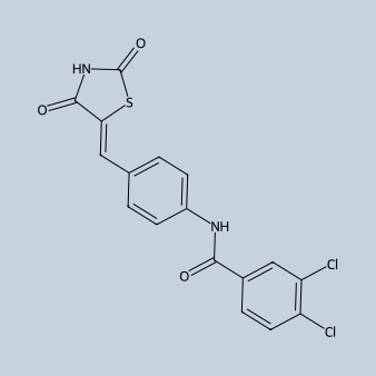 O=C1NC(=O)C(=Cc2ccc(NC(=O)c3ccc(Cl)c(Cl)c3)cc2)S1